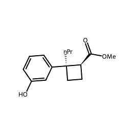 CCC[C@@]1(c2cccc(O)c2)CC[C@@H]1C(=O)OC